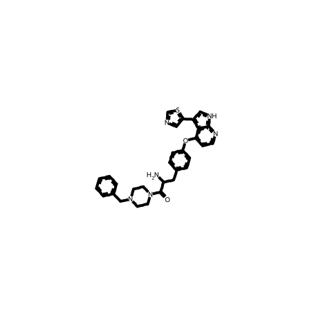 NC(Cc1ccc(Oc2ccnc3[nH]cc(-c4cncs4)c23)cc1)C(=O)N1CCN(Cc2ccccc2)CC1